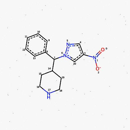 O=[N+]([O-])c1cnn(C(c2ccccc2)C2CCNCC2)c1